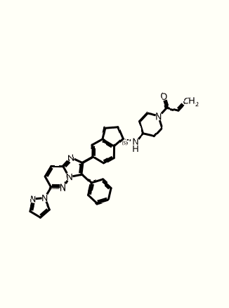 C=CC(=O)N1CCC(N[C@H]2CCc3cc(-c4nc5ccc(-n6cccn6)nn5c4-c4ccccc4)ccc32)CC1